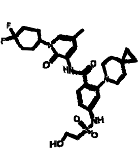 Cc1cc(NC(=O)c2ccc(NS(=O)(=O)CCO)cc2N2CCC3(CC2)CC3)c(=O)n(C2CCC(F)(F)CC2)c1